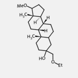 CCOCC1(O)CC[C@@]2(C)C(CC[C@@H]3[C@H]2CC[C@]2(C)C(OC)CC[C@@H]32)C1